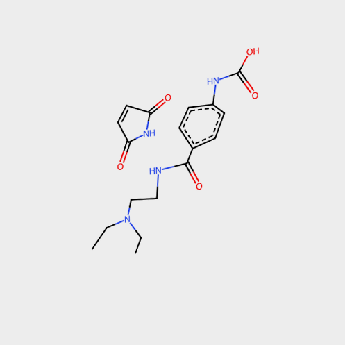 CCN(CC)CCNC(=O)c1ccc(NC(=O)O)cc1.O=C1C=CC(=O)N1